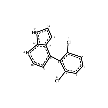 Clc1cccc(Cl)c1-c1ccnc2[nH]ccc12